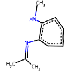 CNc1ccccc1N=C(C)C